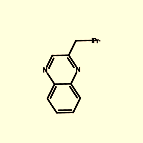 C[C](C)Cc1cnc2ccccc2n1